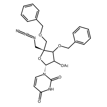 CC(=O)OC1C(OCc2ccccc2)[C@@](CN=[N+]=[N-])(COCc2ccccc2)O[C@H]1n1ccc(=O)[nH]c1=O